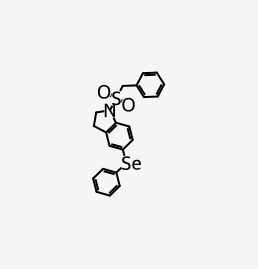 O=S(=O)(Cc1ccccc1)N1CCc2cc([Se]c3ccccc3)ccc21